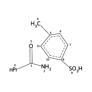 CCCC(N)=O.Cc1ccc(S(=O)(=O)O)cc1